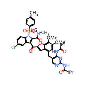 COc1cc(Cc2cnc(NC(=O)C(C)C)nc2NC(=O)C(C)C)c2cc(C(=O)c3c(C(=O)N(C)C)n(S(=O)(=O)c4ccc(C)cc4)c4ccc(Cl)cc34)oc2c1OC